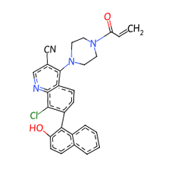 C=CC(=O)N1CCN(c2c(C#N)cnc3c(Cl)c(-c4c(O)ccc5ccccc45)ccc23)CC1